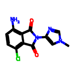 Cn1cnc(N2C(=O)c3c(N)ccc(Cl)c3C2=O)c1